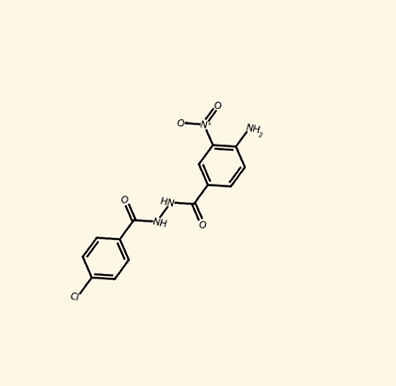 Nc1ccc(C(=O)NNC(=O)c2ccc(Cl)cc2)cc1[N+](=O)[O-]